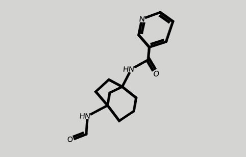 O=CNC12CCCC(NC(=O)c3cccnc3)(CC1)C2